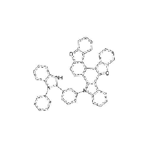 c1ccc(-[n+]2c(-c3cccc(-n4c5ccccc5c5c6oc7ccccc7c6c6c(ccc7oc8ccccc8c76)c54)c3)[nH]c3ccccc32)cc1